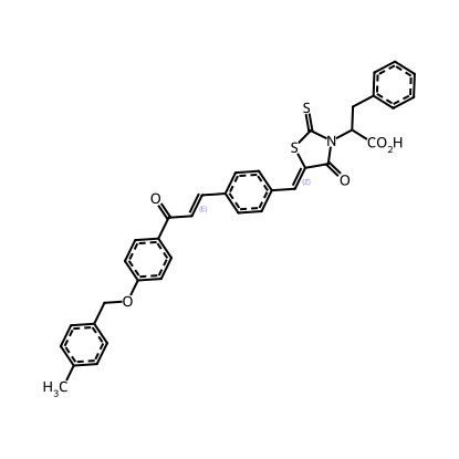 Cc1ccc(COc2ccc(C(=O)/C=C/c3ccc(/C=C4\SC(=S)N(C(Cc5ccccc5)C(=O)O)C4=O)cc3)cc2)cc1